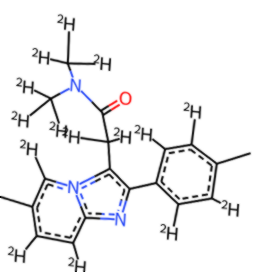 [2H]c1c([2H])c(-c2nc3c([2H])c([2H])c(C)c([2H])n3c2C([2H])([2H])C(=O)N(C([2H])([2H])[2H])C([2H])([2H])[2H])c([2H])c([2H])c1C